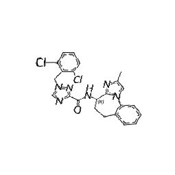 Cc1cn2c(n1)[C@H](NC(=O)c1ncn(Cc3c(Cl)cccc3Cl)n1)CCc1ccccc1-2